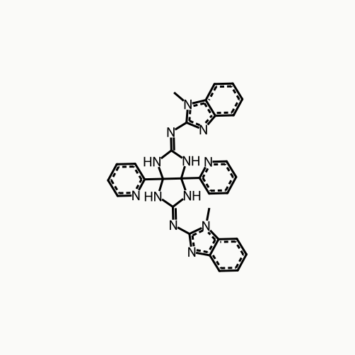 Cn1c(N=C2NC3(c4ccccn4)NC(=Nc4nc5ccccc5n4C)NC3(c3ccccn3)N2)nc2ccccc21